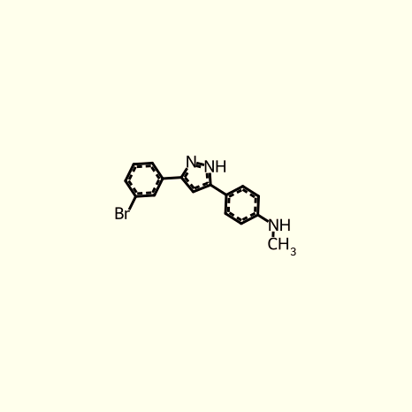 CNc1ccc(-c2cc(-c3cccc(Br)c3)n[nH]2)cc1